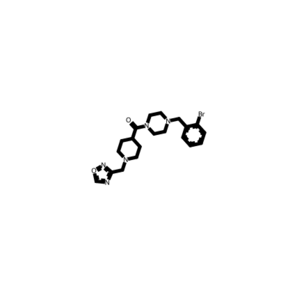 O=C(C1CCN(Cc2ncon2)CC1)N1CCN(Cc2ccccc2Br)CC1